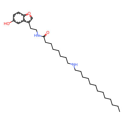 CCCCCCCCCCCCCNCCCCCCCC(=O)NCCc1coc2ccc(O)cc12